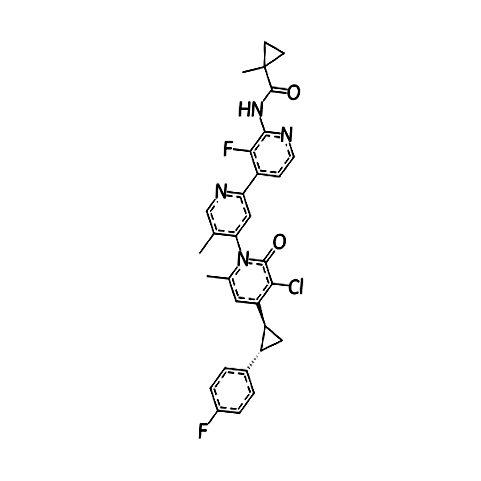 Cc1cnc(-c2ccnc(NC(=O)C3(C)CC3)c2F)cc1-n1c(C)cc([C@H]2C[C@@H]2c2ccc(F)cc2)c(Cl)c1=O